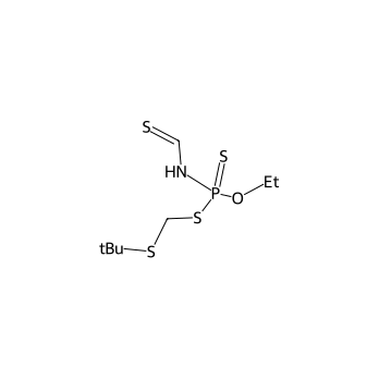 CCOP(=S)(NC=S)SCSC(C)(C)C